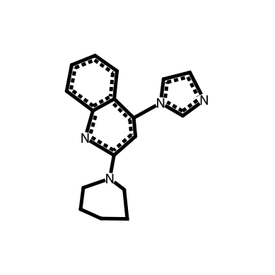 c1ccc2c(-n3ccnc3)cc(N3CCCCC3)nc2c1